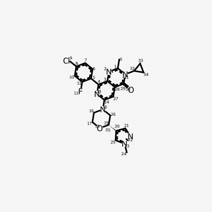 Cc1nc2c(-c3ccc(Cl)cc3F)nc(N3CCO[C@@H](c4cnn(C)c4)C3)cc2c(=O)n1C1CC1